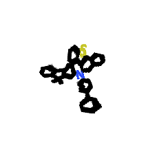 CC1(C)c2ccccc2-c2ccc(N(c3ccc(-c4ccccc4)cc3)c3cc4ccccc4c4sc5ccccc5c34)cc21